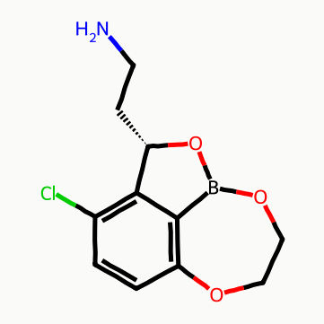 NCC[C@@H]1OB2OCCOc3ccc(Cl)c1c32